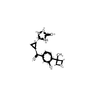 CC1(c2ccc(C(=O)[C@H]3C[C@@H]3c3noc(=O)[nH]3)cc2Cl)COC1